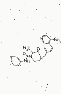 CC1C(=O)N(Cc2ccc3c(N)ccnc3c2)CCN1C(=O)Nc1ccccc1